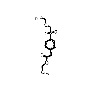 CCOCS(=O)(=O)c1ccc(CC(=O)OCC)cc1